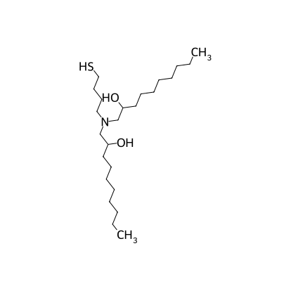 CCCCCCCCC(O)CN(CCCCS)CC(O)CCCCCCCC